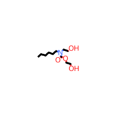 CCCCCCN(CCO)C(=O)OCCO